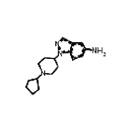 Nc1ccc2c(cnn2C2CCN(C3CCCC3)CC2)c1